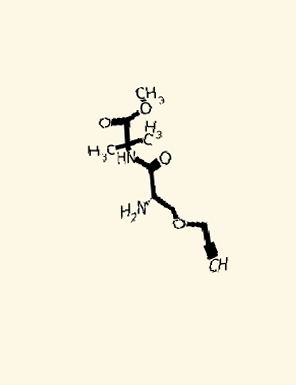 C#CCOC[C@H](N)C(=O)NC(C)(C)C(=O)OC